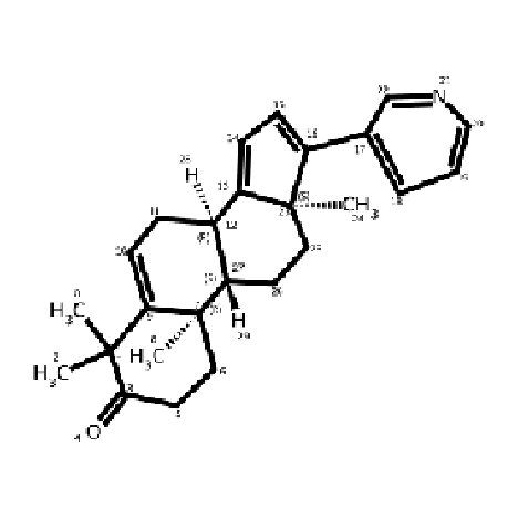 CC1(C)C(=O)CC[C@@]2(C)C1=CC[C@H]1C3=CC=C(c4cccnc4)[C@@]3(C)CC[C@@H]12